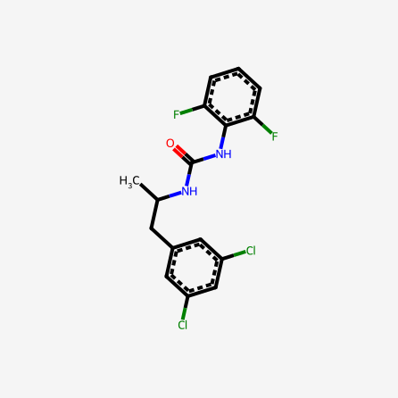 CC(Cc1cc(Cl)cc(Cl)c1)NC(=O)Nc1c(F)cccc1F